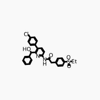 CCS(=O)(=O)c1ccc(CC(=O)Nc2ccc(-c3ccc(Cl)cc3)c(C(O)c3ccccc3)n2)cc1